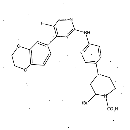 CC(C)(C)C1CN(c2ccc(Nc3ncc(F)c(-c4ccc5c(c4)OCCO5)n3)nc2)CCN1C(=O)O